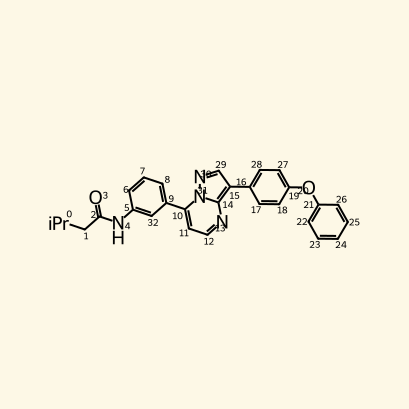 CC(C)CC(=O)Nc1cccc(-c2ccnc3c(-c4ccc(Oc5ccccc5)cc4)cnn23)c1